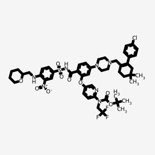 CC1(C)CCC(CN2CCN(c3ccc(C(=O)NS(=O)(=O)c4ccc(NCC5CCCCO5)c([N+](=O)[O-])c4)c(Oc4ccc(N(CC(F)(F)F)C(=O)OC(C)(C)C)nc4)c3)CC2)=C(c2ccc(Cl)cc2)C1